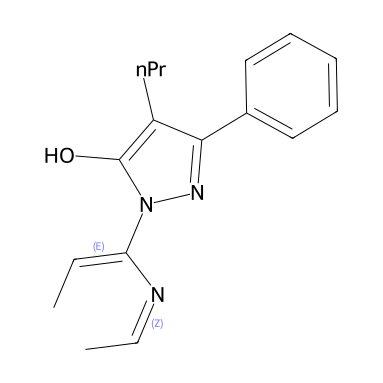 C/C=N\C(=C/C)n1nc(-c2ccccc2)c(CCC)c1O